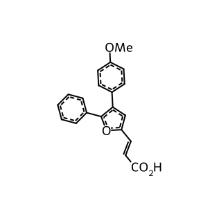 COc1ccc(-c2cc(C=CC(=O)O)oc2-c2ccccc2)cc1